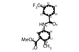 COC(=O)c1cc(NC(=O)c2cccc(C(F)(F)F)c2)ccc1C